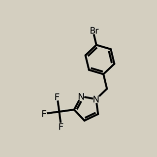 FC(F)(F)c1ccn(Cc2ccc(Br)cc2)n1